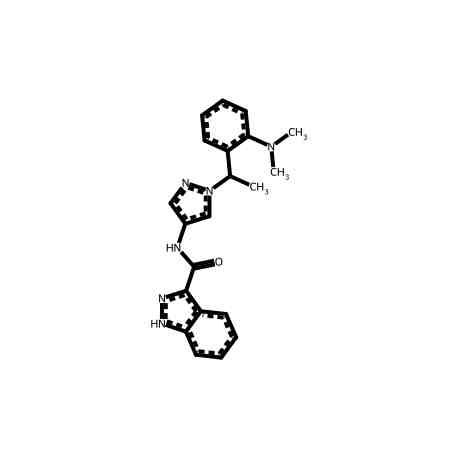 CC(c1ccccc1N(C)C)n1cc(NC(=O)c2n[nH]c3ccccc23)cn1